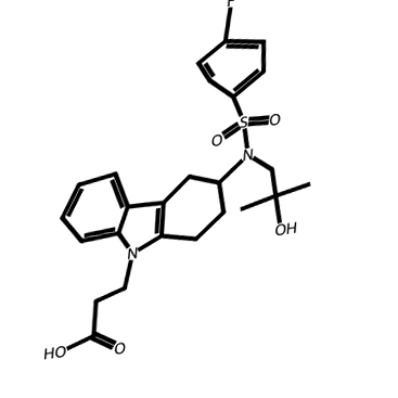 CC(C)(O)CN(C1CCc2c(c3ccccc3n2CCC(=O)O)C1)S(=O)(=O)c1ccc(F)cc1